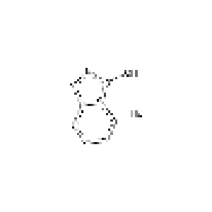 On1nnc2ccccc21.[No]